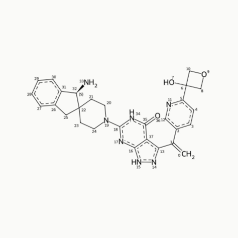 C=C(c1ccc(C2(O)COC2)nc1)c1n[nH]c2nc(N3CCC4(CC3)Cc3ccccc3[C@H]4N)[nH]c(=O)c12